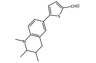 CC1Cc2cc(-c3ccc(C=O)s3)ccc2N(C)C1C